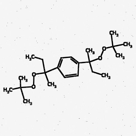 CCC(C)(OOC(C)(C)C)c1ccc(C(C)(CC)OOC(C)(C)C)cc1